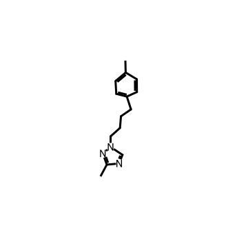 Cc1ccc(CCCCn2cnc(C)n2)cc1